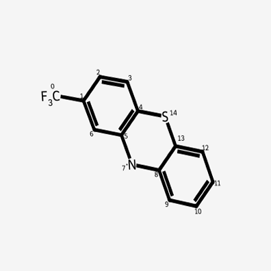 FC(F)(F)c1ccc2c(c1)[N]c1ccccc1S2